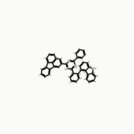 c1ccc(-c2nc(-c3cc4c5c(cccc5c3)-c3ccccc3-4)nc(-c3ccccc3-c3cccc4oc5ccccc5c34)n2)cc1